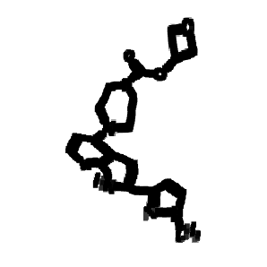 Cn1ccc(-c2cc3c(N4CCN(C(=O)OC5COC5)CC4)ccnc3[nH]2)n1